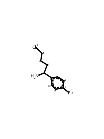 NC(CCCCl)c1ccc(F)cc1